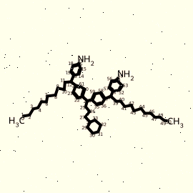 CCCCCCCCCCCCC(c1ccc(N)cc1)c1ccc(C(CCCC2CCCCC2)c2ccc(C(CCCCCCCCCCCC)c3ccc(N)cc3)cc2)cc1